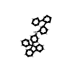 c1ccc(-c2ccccc2-c2cccc(Nc3ccc(C4(c5ccccc5)c5ccccc5-c5ccccc54)cc3)c2)cc1